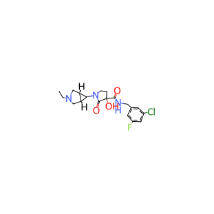 CCN1C[C@@H]2[C@H](C1)[C@H]2N1CCC(O)(C(=O)NCc2cc(F)cc(Cl)c2)C1=O